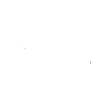 [SiH3]OC(=S)c1cccnc1